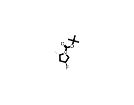 C[C@H]1C[C@H](F)CN1C(=O)OC(C)(C)C